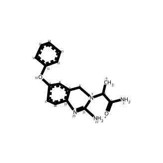 CC(C(N)=O)N1Cc2cc(Oc3ccccc3)ccc2N=C1N